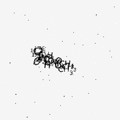 CC(C)(C)OC(=O)N1C[C@@H]2CN(C(=O)C3=CCCCC3)C[C@@H]2C1